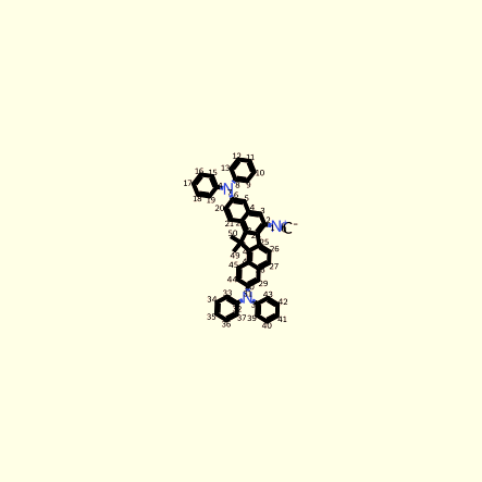 [C-]#[N+]c1cc2cc(N(c3ccccc3)c3ccccc3)ccc2c2c1-c1ccc3cc(N(c4ccccc4)c4ccccc4)ccc3c1C2(C)C